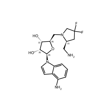 NC[C@@H]1CC(F)(F)CN1C[C@H]1O[C@@H](n2ccc3c(N)cccc32)[C@H](O)[C@@H]1O